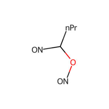 CCCC(N=O)ON=O